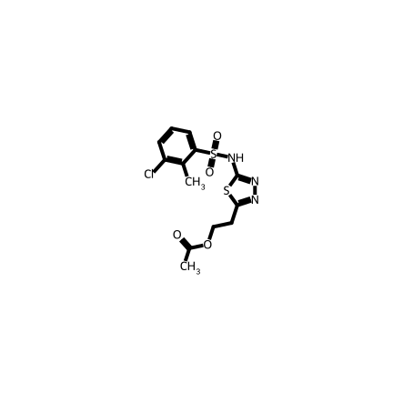 CC(=O)OCCc1nnc(NS(=O)(=O)c2cccc(Cl)c2C)s1